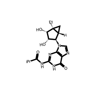 CC[C@]12C[C@@H]1[C@@H](n1cnc3c(=O)[nH]c(NC(=O)C(C)C)nc31)[C@H](O)[C@@H]2O